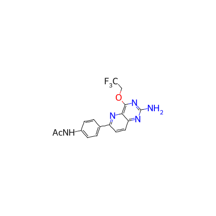 CC(=O)Nc1ccc(-c2ccc3nc(N)nc(OCC(F)(F)F)c3n2)cc1